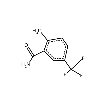 Cc1ccc(C(F)(F)F)cc1C(N)=O